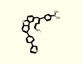 N/C=C\C=C(/Cc1ccc2oc3ccc(-c4ccc(-c5cccnc5)cc4)cc3c2c1)c1ccc(B(O)O)cc1